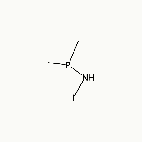 CP(C)NI